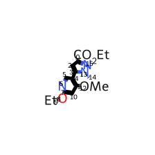 CCOC(=O)c1cc(-c2cnc(OCC)cc2OC)n(C)n1